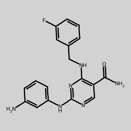 NC(=O)c1cnc(Nc2cccc(N)c2)nc1NCc1cccc(F)c1